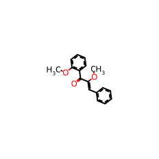 COC(=Cc1ccccc1)C(=O)c1ccccc1OC